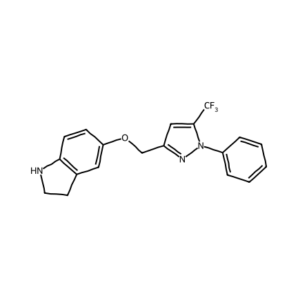 FC(F)(F)c1cc(COc2ccc3c(c2)CCN3)nn1-c1ccccc1